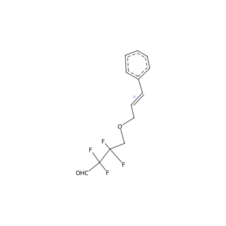 O=CC(F)(F)C(F)(F)COC/C=C/c1ccccc1